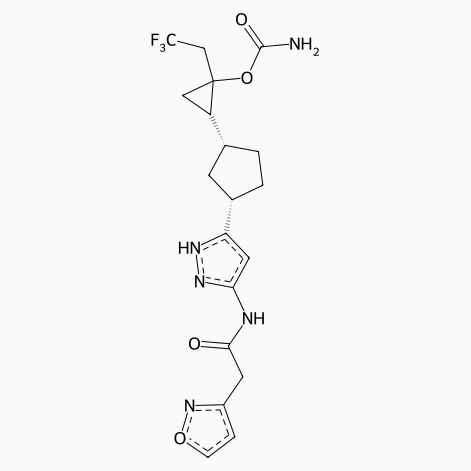 NC(=O)OC1(CC(F)(F)F)CC1[C@@H]1CC[C@H](c2cc(NC(=O)Cc3ccon3)n[nH]2)C1